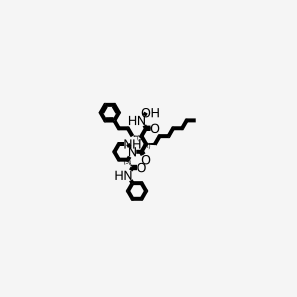 CCCCCCC[C@@H](C(=O)N1NCCC[C@H]1C(=O)NC1CCCCC1)[C@H](CCCc1ccccc1)C(=O)NO